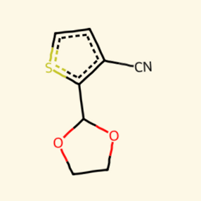 N#Cc1ccsc1C1OCCO1